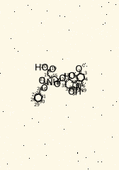 COc1ccc(C)c2c1O[C@H]1C(OC(=O)CC(CC(=O)O)NC(=O)OCc3ccccc3)=CC[C@@]3(O)[C@@H](C)N(C)CC[C@]213